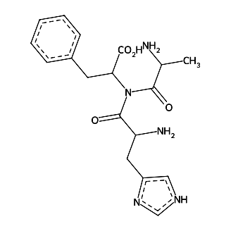 CC(N)C(=O)N(C(=O)C(N)Cc1c[nH]cn1)C(Cc1ccccc1)C(=O)O